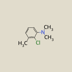 Cc1cccc(N(C)C)c1Cl